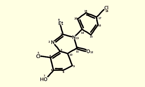 CCC1=NC2=C(Cl)C(O)=CCC2C(=O)N1c1ccc(Cl)cc1